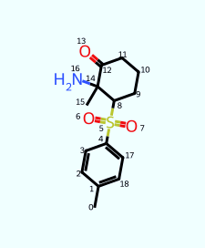 Cc1ccc(S(=O)(=O)C2CCCC(=O)C2(C)N)cc1